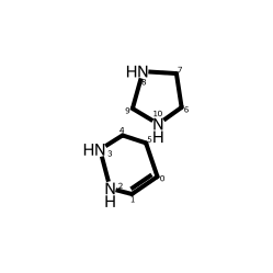 C1=CNNCC1.C1CNCN1